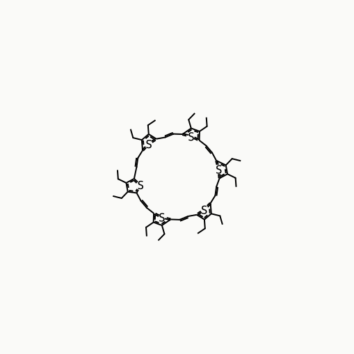 CCc1c2sc(c1CC)/C=C/c1sc(c(CC)c1CC)/C=C/c1sc(c(CC)c1CC)/C=C\c1sc(c(CC)c1CC)/C=C/c1sc(c(CC)c1CC)/C=C/c1sc(c(CC)c1CC)/C=C\2